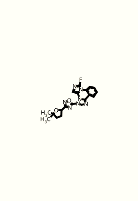 CC1(C)CCC(c2noc(N3CN=C4c5ccccc5-n5c(cnc5F)N43)n2)O1